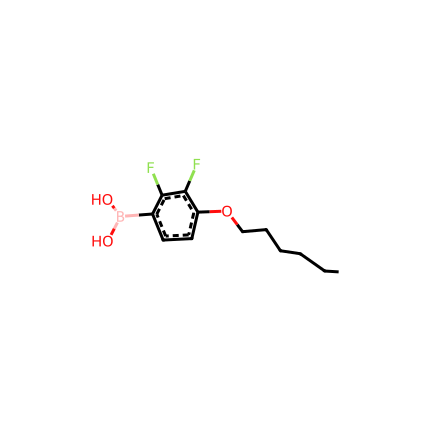 CCCCCCOc1ccc(B(O)O)c(F)c1F